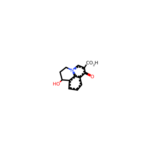 O=C(O)c1cn2c3c(cccc3c1=O)C(O)CC2